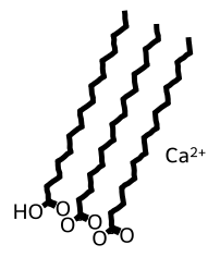 CCCCCCCCCCCCCCCC(=O)O.CCCCCCCCCCCCCCCC(=O)[O-].CCCCCCCCCCCCCCCC(=O)[O-].[Ca+2]